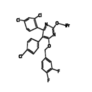 CC(C)Oc1nc(OCc2ccc(F)c(F)c2)c(-c2ccc(Cl)cc2)c(-c2ccc(Cl)cc2Cl)n1